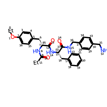 CCOc1ccc(C[C@@H](NC(=O)CC)C(=O)N[C@@H](Cc2ccccc2)C(=O)NCc2ccc(CN)cc2)cc1